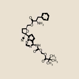 CC(C)(C)C(=O)OCOC(=O)Nc1ncnn2c([C@@]3(C#N)CC[C@@H](COC(=O)[C@@H](N)Cc4ccccc4)O3)ccc12